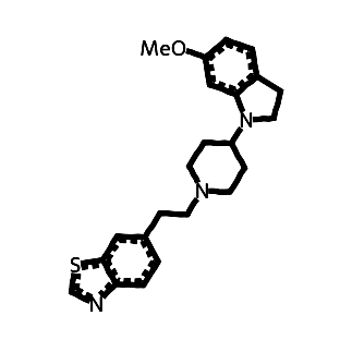 COc1ccc2c(c1)N(C1CCN(CCc3ccc4ncsc4c3)CC1)CC2